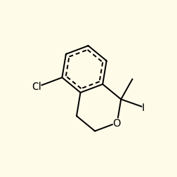 CC1(I)OCCc2c(Cl)cccc21